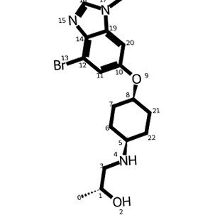 C[C@@H](O)CN[C@H]1CC[C@@H](Oc2cc(Br)c3ncn(C)c3c2)CC1